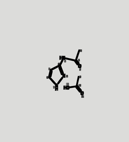 CC(=O)Nc1cc[nH]n1.CC(=O)O